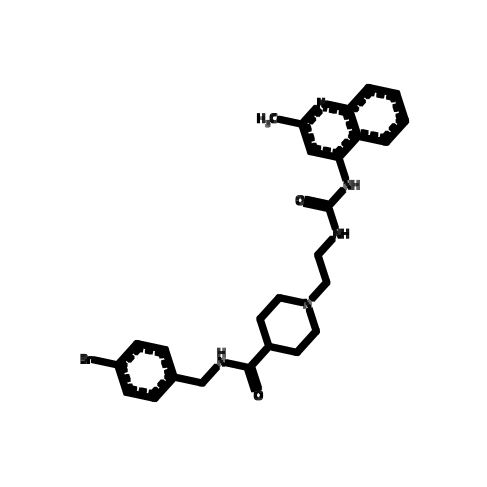 Cc1cc(NC(=O)NCCN2CCC(C(=O)NCc3ccc(Br)cc3)CC2)c2ccccc2n1